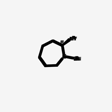 CCC[C@@H]1CCCCCN1C(C)(C)C